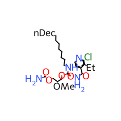 CCCCCCCCCCCCCCCCCCNC(=O)OCC(COC(N)=O)OC.CCc1c(C(N)=O)ccnc1Cl